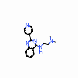 CN(C)CCNc1nc(-c2ccncc2)nc2ccccc12